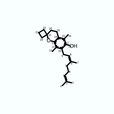 CC(C)=CCCC(C)=CCc1c(C)c2c(c(C)c1O)CCC1(CCC1)O2